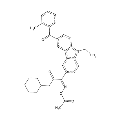 CCn1c2ccc(C(=O)c3ccccc3C)cc2c2cc(C(=NOC(C)=O)C(=O)CC3CCCCC3)ccc21